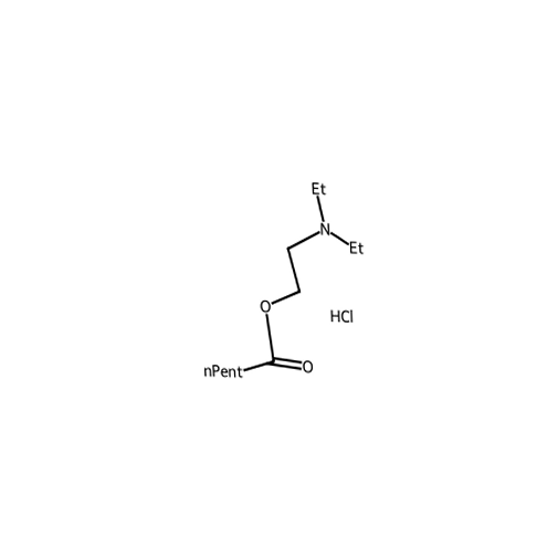 CCCCCC(=O)OCCN(CC)CC.Cl